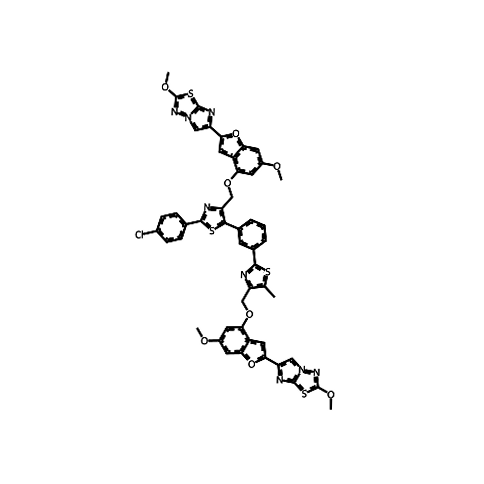 COc1cc(OCc2nc(-c3cccc(-c4sc(-c5ccc(Cl)cc5)nc4COc4cc(OC)cc5oc(-c6cn7nc(OC)sc7n6)cc45)c3)sc2C)c2cc(-c3cn4nc(OC)sc4n3)oc2c1